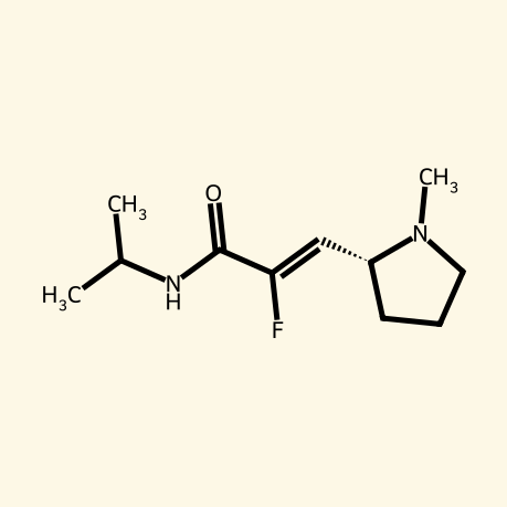 CC(C)NC(=O)/C(F)=C/[C@H]1CCCN1C